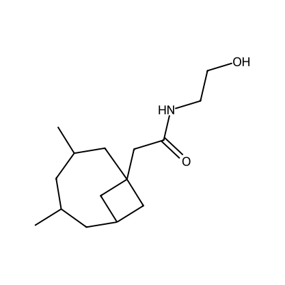 CC1CC(C)CC2(CC(=O)NCCO)CC(C1)C2